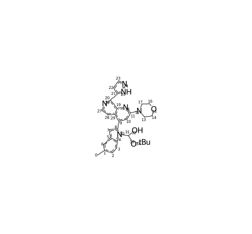 Cc1ccc2c(c1)cc(-c1cc(N3CCOCC3)nc3c(-c4ccn[nH]4)nccc13)n2C(O)OC(C)(C)C